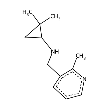 Cc1ncccc1CNC1CC1(C)C